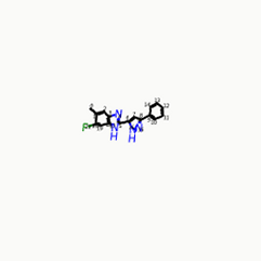 Cc1cc2nc(-c3cc(-c4ccccc4)n[nH]3)[nH]c2cc1F